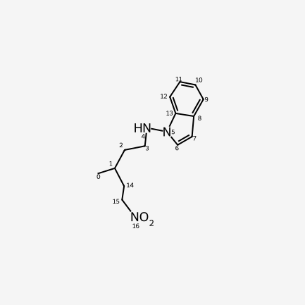 CC(CCNn1ccc2ccccc21)CC[N+](=O)[O-]